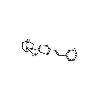 OC1(c2ccc(/C=C/c3cccnc3)cc2)CN2CCC1CC2